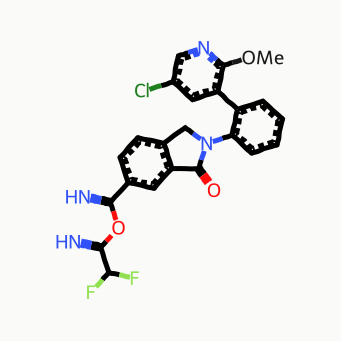 COc1ncc(Cl)cc1-c1ccccc1N1Cc2ccc(C(=N)OC(=N)C(F)F)cc2C1=O